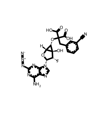 N#Cc1cccc(CC(O[C@H]2[C@H]3O[C@@H](n4cnc5c(N)nc(N=[N+]=[N-])nc54)[C@@H](F)[C@]32O)(C(=O)O)C(=O)O)c1